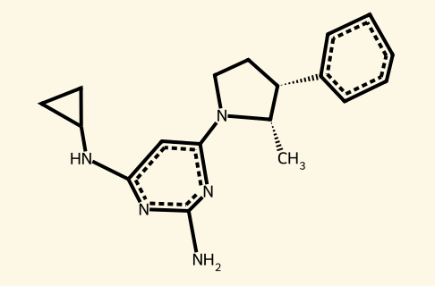 C[C@H]1[C@@H](c2ccccc2)CCN1c1cc(NC2CC2)nc(N)n1